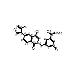 CNC(=O)c1cc(F)cc(Cn2cc(Cl)c3cc(-c4conc4C)ccc3c2=O)c1